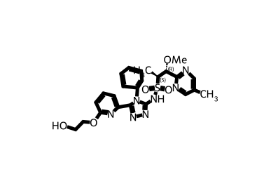 CO[C@H](c1ncc(C)cn1)[C@H](C)S(=O)(=O)Nc1nnc(-c2cccc(OCCO)n2)n1-c1ccccc1